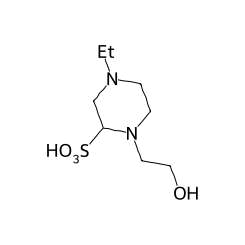 CCN1CCN(CCO)C(S(=O)(=O)O)C1